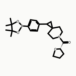 CC1(C)OB(c2ccc(C3CC34CCN(C(=O)[C@@H]3CCCO3)CC4)cc2)OC1(C)C